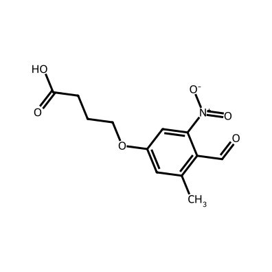 Cc1cc(OCCCC(=O)O)cc([N+](=O)[O-])c1C=O